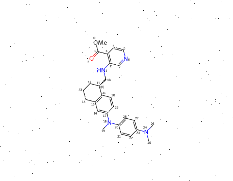 COC(=O)c1ccncc1NC[C@@H]1CCCc2cc(N(C)c3ccc(N(C)C)cc3)ccc21